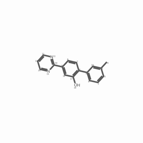 Cc1cccc(-c2ccc(-c3ncccn3)cc2O)c1